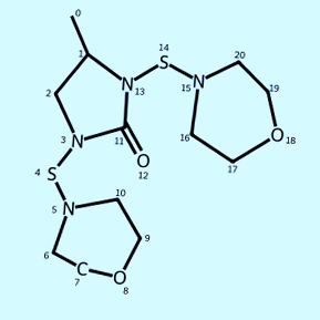 CC1CN(SN2CCOCC2)C(=O)N1SN1CCOCC1